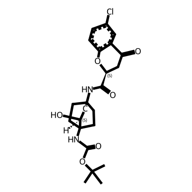 CC(C)(C)OC(=O)NC12CCC(NC(=O)[C@@H]3CC(=O)c4cc(Cl)ccc4O3)(CC1)C[C@@H]2O